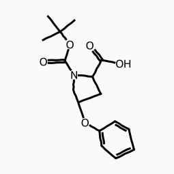 CC(C)(C)OC(=O)N1CC(Oc2ccccc2)CC1C(=O)O